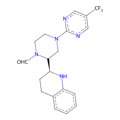 O=CN1CCN(c2ncc(C(F)(F)F)cn2)CC1[C@@H]1CCc2ccccc2N1